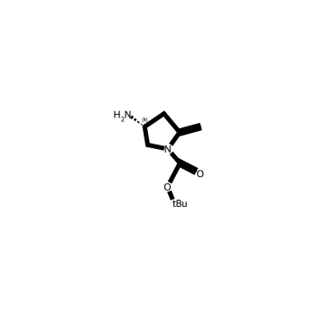 C=C1C[C@@H](N)CN1C(=O)OC(C)(C)C